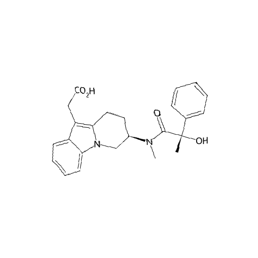 CN(C(=O)[C@@](C)(O)c1ccccc1)[C@@H]1CCc2c(CC(=O)O)c3ccccc3n2C1